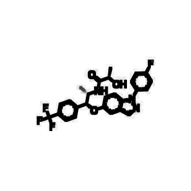 C[C@H](NC(=O)[C@@H](C)O)[C@@H](Oc1ccc2c(cnn2-c2ccc(F)cc2)c1)c1ccc(C(F)(F)F)cc1